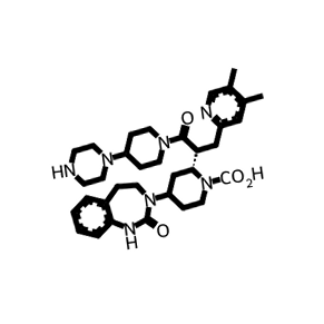 Cc1cnc(CC(C(=O)N2CCC(N3CCNCC3)CC2)[C@H]2CC(N3CCc4ccccc4NC3=O)CCN2C(=O)O)cc1C